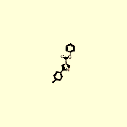 Cc1ccc(-c2cn(C(=O)Oc3ccccc3)cn2)cc1